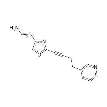 N/C=C/c1coc(C#CCCc2cccnc2)n1